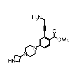 COC(=O)c1ccc(N2CCN(C3CNC3)CC2)cc1C#CCN